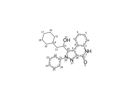 O=c1[nH]c2ccccc2c2c(C(O)CC3CCCCC3)n(-c3ccccc3)nc12